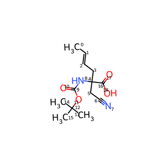 CC=CCC(CC#N)(NC(=O)OC(C)(C)C)C(=O)O